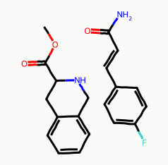 COC(=O)C1Cc2ccccc2CN1.NC(=O)C=Cc1ccc(F)cc1